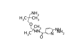 CC(C)(CN)COCC(C)(C)CNC(=O)c1ccc(NN)nc1